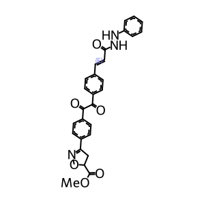 COC(=O)C1CC(c2ccc(C(=O)C(=O)c3ccc(/C=C/C(=O)NNc4ccccc4)cc3)cc2)=NO1